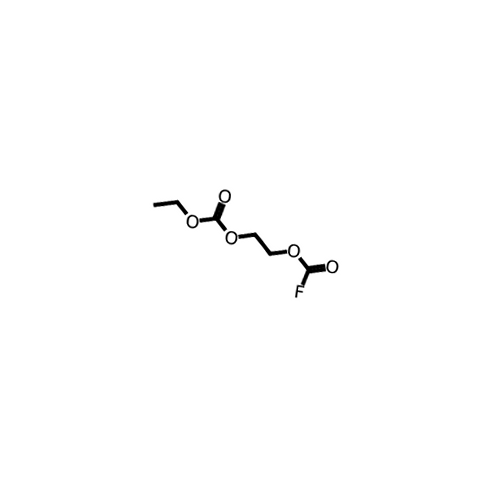 CCOC(=O)OCCOC(=O)F